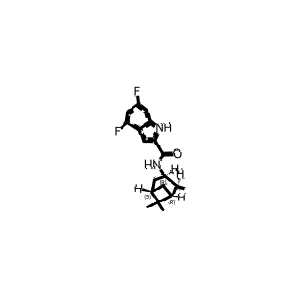 C[C@H]1[C@H]2C[C@@H](C[C@H]1NC(=O)c1cc3c(F)cc(F)cc3[nH]1)C2(C)C